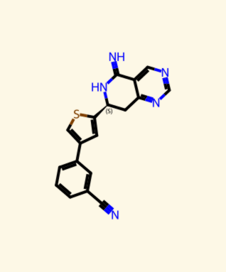 N#Cc1cccc(-c2csc([C@@H]3Cc4ncncc4C(=N)N3)c2)c1